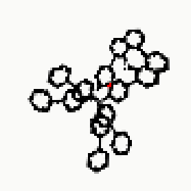 c1ccc(-c2ccc(N(c3ccc(-c4ccccc4)cc3)c3ccc(-c4ccc5cccc6c7cccc8ccc(-c9ccc(N(c%10ccc(-c%11ccccc%11)cc%10)c%10ccc(-c%11ccccc%11)cc%10)cc9)c(oc4c56)c87)cc3)cc2)cc1